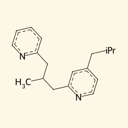 CC(C)Cc1ccnc(CC(C)Cc2ccccn2)c1